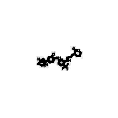 CN1C[C@H]2C[C@@H]1CN2c1ccc(Nc2ncc(C(F)(F)F)c(NCCCN3CCCOC3=O)n2)c(Cl)c1